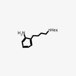 CCCCCCCCC[CH]c1ccccc1N